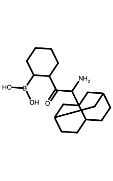 NC(C(=O)C1CCCCC1B(O)O)C12CC3CCC1CCC(C3)C2